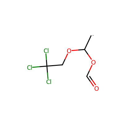 [CH2]C(OC=O)OCC(Cl)(Cl)Cl